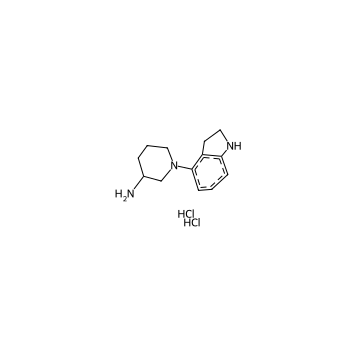 Cl.Cl.NC1CCCN(c2cccc3c2CCN3)C1